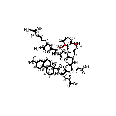 CSCC[C@H](NC(=O)[C@H](CCC(=O)O)NC(=O)[C@H](CCC(=O)O)NC(=O)[C@]1(C)CCC[C@@]2(C)[C@H]1CC=C1C=C(C(C)C)CC[C@@H]12)C(=O)N[C@@H](CCC(N)=O)C(=O)N[C@@H](CCCNC(=N)N)C(=O)N[C@@H](CCCNC(=N)N)C(N)=O